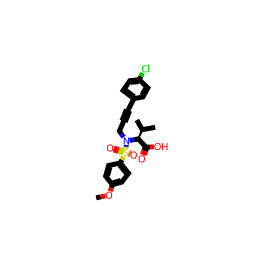 COc1ccc(S(=O)(=O)N(CC#Cc2ccc(Cl)cc2)[C@H](C(=O)O)C(C)C)cc1